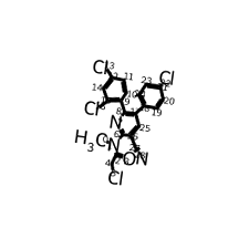 CN(C(=O)CCl)c1nc(-c2ccc(Cl)cc2Cl)c(-c2ccc(Cl)cc2)cc1C#N